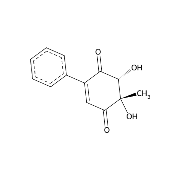 C[C@@]1(O)C(=O)C=C(c2ccccc2)C(=O)[C@@H]1O